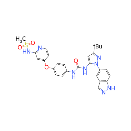 CC(C)(C)c1cc(NC(=O)Nc2ccc(Oc3ccnc(NS(C)(=O)=O)c3)cc2)n(-c2ccc3[nH]ncc3c2)n1